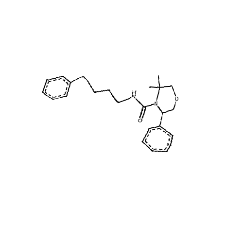 CC1(C)COCC(c2ccccc2)N1C(=O)NCCCCc1ccccc1